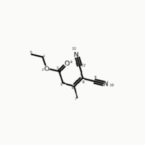 CCOC(=O)CC(C)=C(C#N)C#N